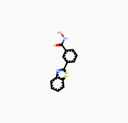 O=C(NO)c1cccc(-c2nc3ccccc3s2)c1